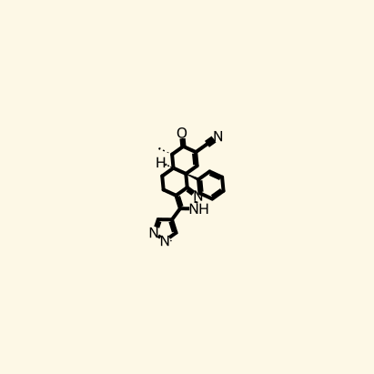 C[C@@H]1C(=O)C(C#N)=C[C@]2(c3ccccc3)c3n[nH]c(C4=C[N]N=C4)c3CC[C@@H]12